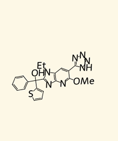 CCn1c(C(O)(c2ccccc2)c2cccs2)nc2nc(OC)c(-c3nnn[nH]3)cc21